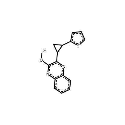 CC(C)Oc1nc2ccccc2nc1C1CC1c1cccs1